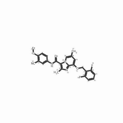 CCOc1ccc(NC(=O)c2c(C)nc3c(OCc4c(F)cccc4F)cc(C)cn23)cc1C#N